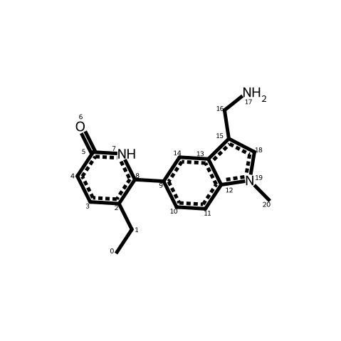 CCc1ccc(=O)[nH]c1-c1ccc2c(c1)c(CN)cn2C